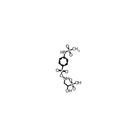 CS(=O)(=O)Nc1ccc(S(=O)(=O)ONCC(O)S(=O)(=O)O)cc1